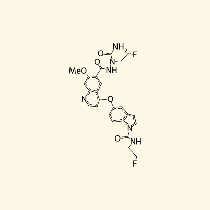 COc1cc2nccc(Oc3ccc4c(ccn4C(=O)NCCF)c3)c2cc1C(=O)NN(CCF)C(N)=O